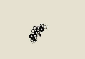 CCn1c(C)c(-c2cccc3c2OC(F)(F)O3)c(=O)c(C(=O)O)c1-c1ccc(Cl)c(Cl)c1